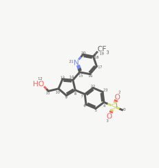 CS(=O)(=O)c1ccc(C2=CC(CO)C=C2c2ccc(C(F)(F)F)cn2)cc1